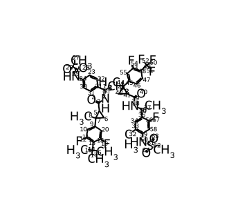 C[C@@H](NC(=O)C1CC1(C)c1cc(F)c(C(C)(C)C)c(F)c1)c1ccc(NS(C)(=O)=O)cc1.Cc1cc([C@@H](C)NC(=O)C2CC2(C)c2ccc(C(F)(F)F)c(F)c2)c(F)cc1NS(C)(=O)=O